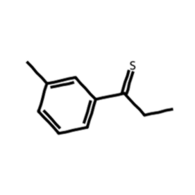 CCC(=S)c1cccc(C)c1